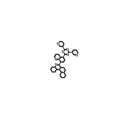 c1cncc(-c2nc(-c3cccnc3)nc(-c3ccc(-c4nc5ccccc5c5c4ccc4ccccc45)c4ncccc34)n2)c1